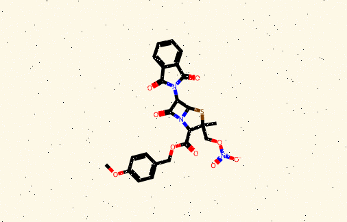 COc1ccc(COC(=O)C2N3C(=O)C(N4C(=O)c5ccccc5C4=O)C3SC2(C)CO[N+](=O)[O-])cc1